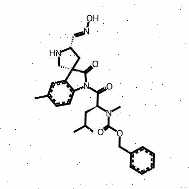 Cc1ccc2c(c1)[C@]1(CN[C@H](C=NO)C1)C(=O)N2C(=O)[C@H](CC(C)C)N(C)C(=O)OCc1ccccc1